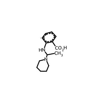 CC(Nc1[c]cccc1C(=O)O)N1CCCCC1